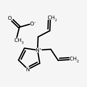 C=CC[N+]1(CC=C)C=CN=C1.CC(=O)[O-]